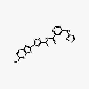 CC(NC(=O)c1cc(Nc2ccon2)ncn1)c1cc(-c2nc3cnc(C(C)(C)C)nc3[nH]2)no1